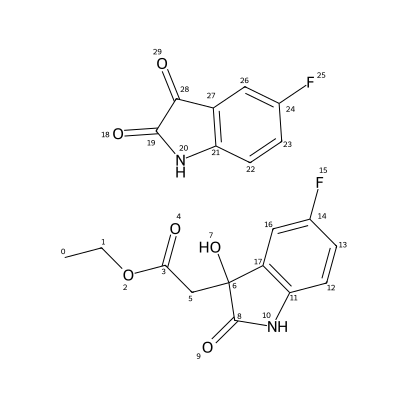 CCOC(=O)CC1(O)C(=O)Nc2ccc(F)cc21.O=C1Nc2ccc(F)cc2C1=O